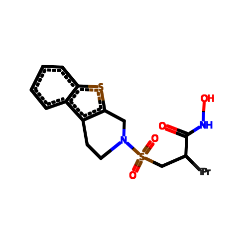 CC(C)C(CS(=O)(=O)N1CCc2c(sc3ccccc23)C1)C(=O)NO